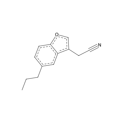 CCCc1ccc2occ(CC#N)c2c1